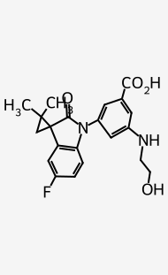 CC1(C)CC12C(=O)N(c1cc(NCCO)cc(C(=O)O)c1)c1ccc(F)cc12